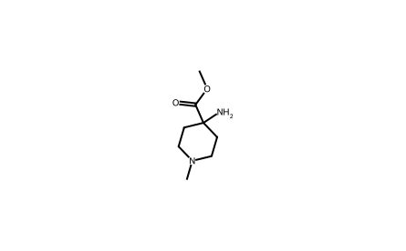 COC(=O)C1(N)CCN(C)CC1